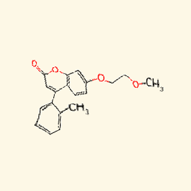 COCCOc1ccc2c(-c3ccccc3C)cc(=O)oc2c1